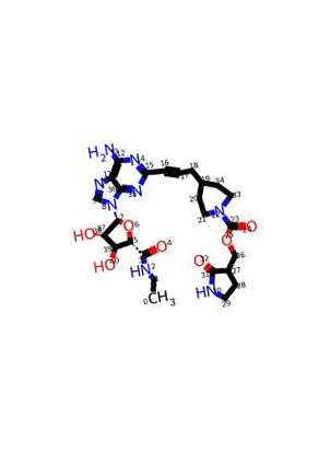 CCNC(=O)[C@H]1O[C@@H](n2cnc3c(N)nc(C#CCC4CCN(C(=O)OCC5CCNC5=O)CC4)nc32)[C@@H](O)C1O